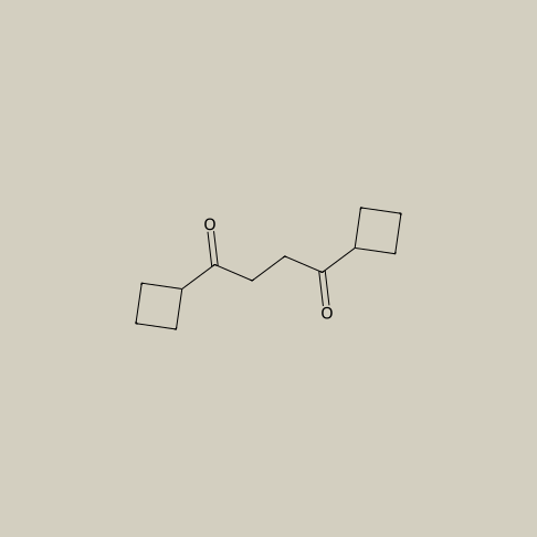 O=C(CCC(=O)C1CCC1)C1CCC1